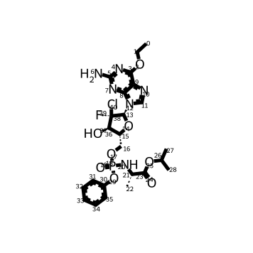 CCOc1nc(N)nc2c1ncn2[C@@H]1O[C@H](COP(=O)(N[C@@H](C)C(=O)OC(C)C)Oc2ccccc2)[C@@H](O)[C@@]1(F)Cl